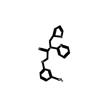 Cc1cccc(OCC(=O)N(Cc2cccs2)c2ccccn2)c1